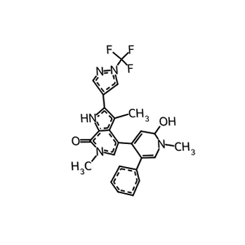 Cc1c(-c2cnn(C(F)(F)F)c2)[nH]c2c(=O)n(C)cc(C3=CC(O)N(C)C=C3c3ccccc3)c12